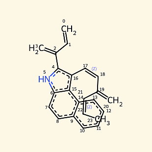 C=CC(=C)c1[nH]c2ccc3ccccc3c2c1/C=C\C(=C)/C=C\C